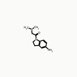 CN(C)CC(=O)N1CCc2cc(N)ccc21